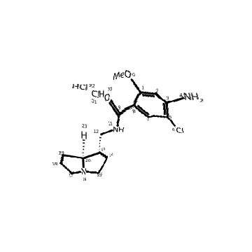 COc1cc(N)c(Cl)cc1C(=O)NC[C@@H]1CCN2CCC[C@@H]12.Cl.Cl